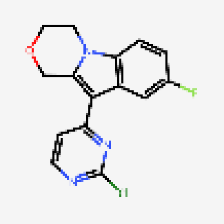 Fc1ccc2c(c1)c(-c1ccnc(Cl)n1)c1n2CCOC1